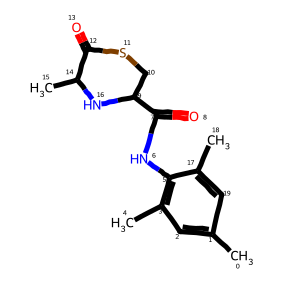 Cc1cc(C)c(NC(=O)C2CSC(=O)C(C)N2)c(C)c1